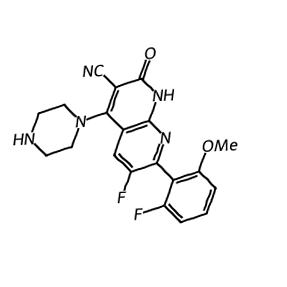 COc1cccc(F)c1-c1nc2[nH]c(=O)c(C#N)c(N3CCNCC3)c2cc1F